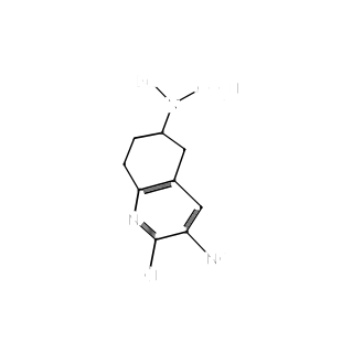 Cc1nc2c(cc1[N+](=O)[O-])CC(N(C(=O)O)C(C)(C)C)CC2